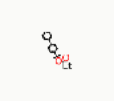 CCC(=O)OC(C)(C)c1ccc(-c2ccccc2)cc1